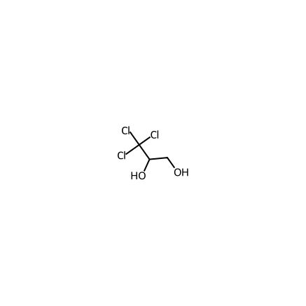 OCC(O)C(Cl)(Cl)Cl